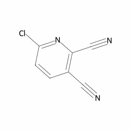 N#Cc1ccc(Cl)nc1C#N